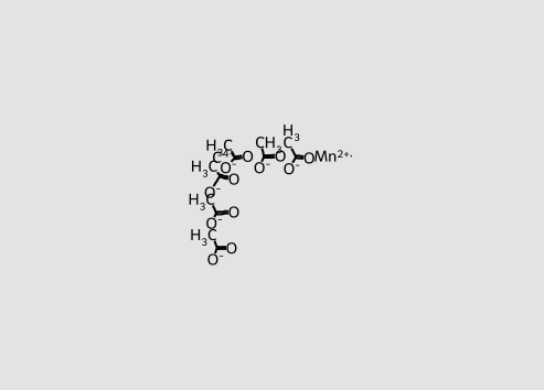 CC(=O)[O-].CC(=O)[O-].CC(=O)[O-].CC(=O)[O-].CC(=O)[O-].CC(=O)[O-].[C+4].[Mn+2]